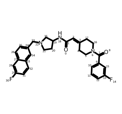 O=C(C=C1CCN(C(=O)c2cccc(F)c2)CC1)NC1CCN(Cc2ccc3cc(F)ccc3c2)C1